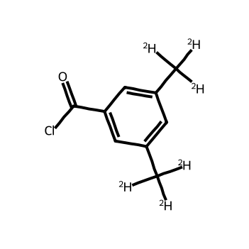 [2H]C([2H])([2H])c1cc(C(=O)Cl)cc(C([2H])([2H])[2H])c1